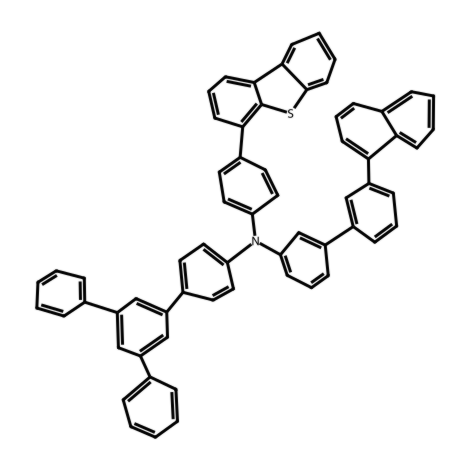 c1ccc(-c2cc(-c3ccccc3)cc(-c3ccc(N(c4ccc(-c5cccc6c5sc5ccccc56)cc4)c4cccc(-c5cccc(-c6cccc7ccccc67)c5)c4)cc3)c2)cc1